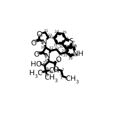 CCCOC(=O)C([C@H](O)C(C)(C)C)N1C(=O)C(N2C(=O)OC[C@@H]2c2ccc3sccc3c2)C1CCc1cc[nH]c1